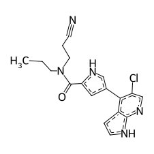 CCCN(CCC#N)C(=O)c1cc(-c2c(Cl)cnc3[nH]ccc23)c[nH]1